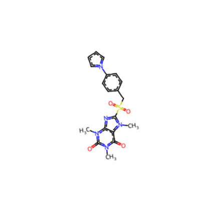 Cn1c(=O)c2c(nc(S(=O)(=O)Cc3ccc(-n4cccc4)cc3)n2C)n(C)c1=O